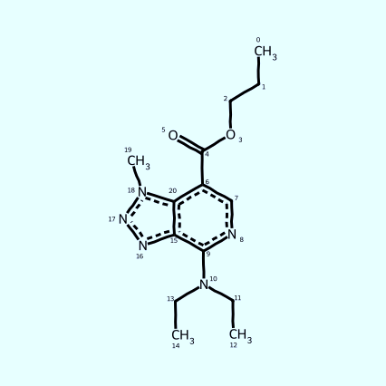 CCCOC(=O)c1cnc(N(CC)CC)c2nnn(C)c12